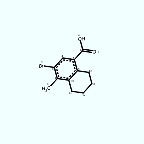 Cc1c(Br)cc(C(=O)O)c2c1CCCC2